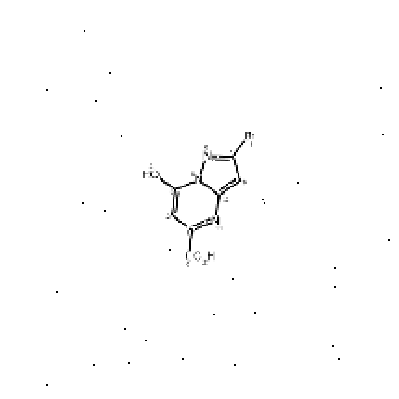 O=C(O)c1cc(O)n2nc(Br)cc2n1